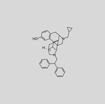 Oc1ccc2c(c1)C13CCN(CC4CC4)C(C2)C12CCC1C3[C@@H](CN1CC(c1ccccc1)c1ccccc1)C2